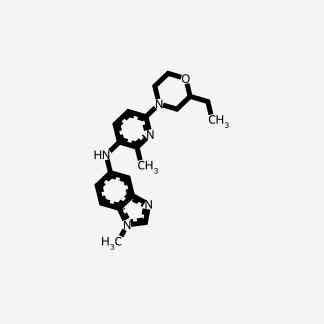 CCC1CN(c2ccc(Nc3ccc4c(c3)ncn4C)c(C)n2)CCO1